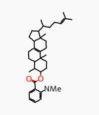 CNc1ccccc1C(=O)OC1CCC2(C)C3=C(CCC2C1C)C1CCC(C(C)CCC=C(C)C)C1(C)CC3